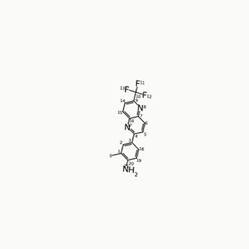 Cc1cc(-c2ccc3nc(C(F)(F)F)ccc3n2)ccc1N